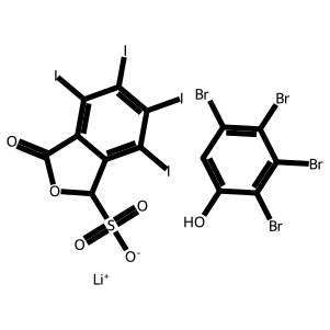 O=C1OC(S(=O)(=O)[O-])c2c(I)c(I)c(I)c(I)c21.Oc1cc(Br)c(Br)c(Br)c1Br.[Li+]